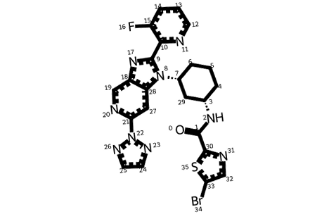 O=C(N[C@H]1CCC[C@@H](n2c(-c3ncccc3F)nc3cnc(-n4nccn4)cc32)C1)c1ncc(Br)s1